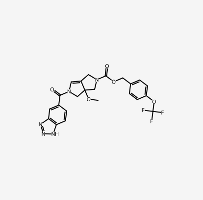 COC12CN(C(=O)c3ccc4[nH]nnc4c3)C=C1CN(C(=O)OCc1ccc(OC(F)(F)F)cc1)C2